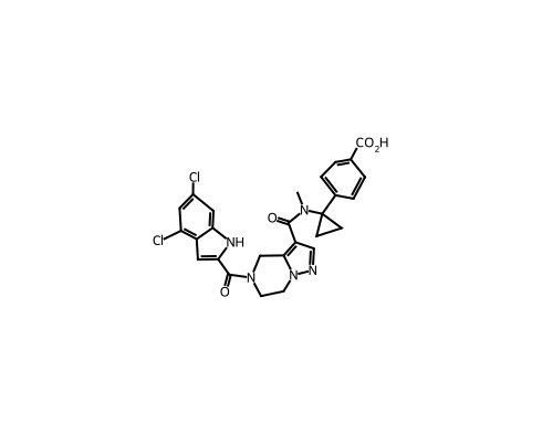 CN(C(=O)c1cnn2c1CN(C(=O)c1cc3c(Cl)cc(Cl)cc3[nH]1)CC2)C1(c2ccc(C(=O)O)cc2)CC1